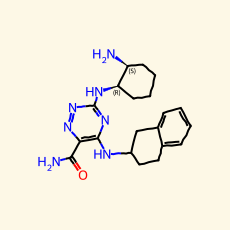 NC(=O)c1nnc(N[C@@H]2CCCC[C@@H]2N)nc1NC1CCc2ccccc2C1